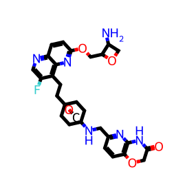 NC1COC1COc1ccc2ncc(F)c(CCC34CCC(NCc5ccc6c(n5)NC(=O)CO6)(CC3)CO4)c2n1